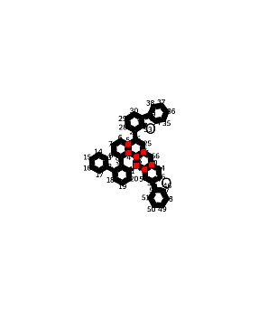 c1ccc(-c2ccccc2-c2c(-c3ccccc3)cccc2N(c2ccc(-c3cccc4c3oc3ccccc34)cc2)c2ccc3oc4ccccc4c3c2)cc1